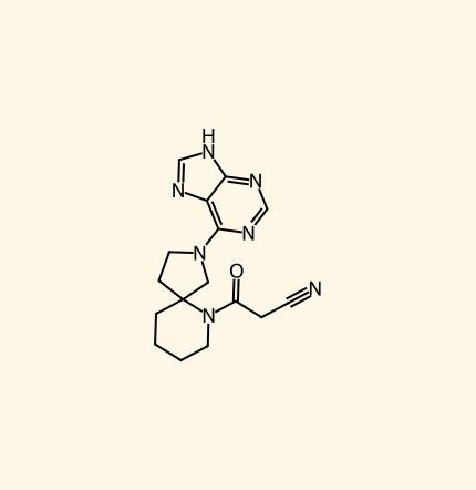 N#CCC(=O)N1CCCCC12CCN(c1ncnc3[nH]cnc13)C2